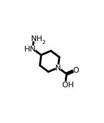 NNC1CCN(C(=O)O)CC1